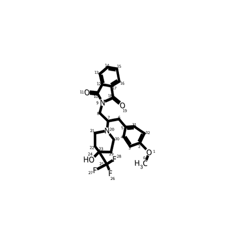 COc1ccc(CC(CN2C(=O)c3ccccc3C2=O)N2CCC(O)(C(F)(F)F)CC2)cc1